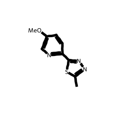 COc1ccc(-c2nnc(C)s2)nc1